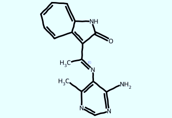 C/C(=N\c1c(C)ncnc1N)c1c2cccccc-2[nH]c1=O